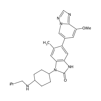 COc1cc(-c2cc3[nH]c(=O)n(C4CCC(NCC(C)C)CC4)c3cc2C)cn2ncnc12